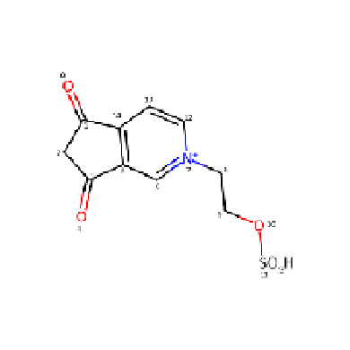 O=C1CC(=O)c2c[n+](CCOS(=O)(=O)O)ccc21